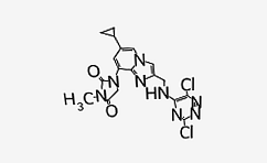 CN1C(=O)CN(c2cc(C3CC3)cn3cc(CNc4nc(Cl)nnc4Cl)nc23)C1=O